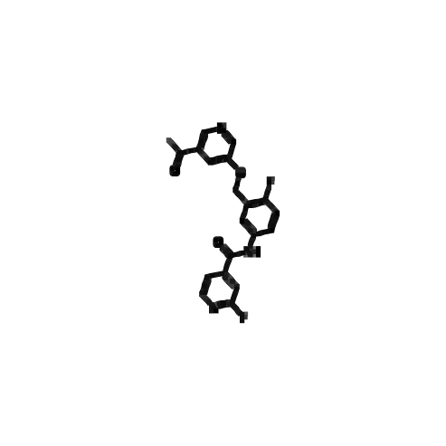 CC(=O)c1cncc(OCc2cc(NC(=O)c3ccnc(F)c3)ccc2F)c1